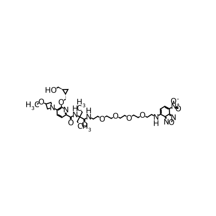 CCC(CC)(NC(=O)c1ccc(N2CC(OC)C2)c(OC[C@H]2C[C@@H]2CO)n1)C(=O)NCCOCCOCCOCCOCCNc1ccc([N+](=O)[O-])c2nonc12